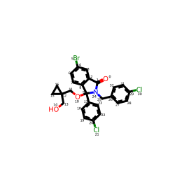 O=C1c2cc(Br)ccc2C(OCC2(CO)CC2)(c2ccc(Cl)cc2)N1Cc1ccc(Cl)cc1